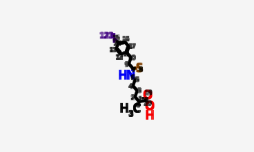 C[C@@H](CCCCNC(=S)CCc1ccc([123I])cc1)C(=O)O